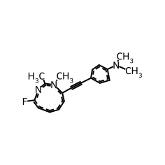 Cc1nc(F)ccccc(C#Cc2ccc(N(C)C)cc2)n1C